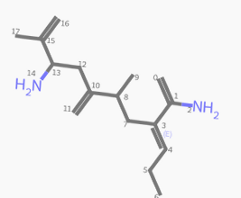 C=C(N)/C(=C/CC)CC(C)C(=C)CC(N)C(=C)C